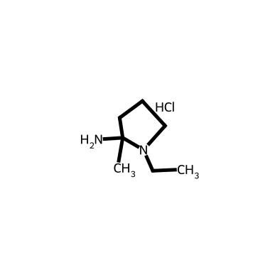 CCN1CCCC1(C)N.Cl